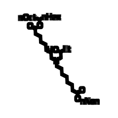 CCCCCCCCCOC(=O)CCCCCCCN(CCCCCCCC(=O)OC(CCCCCC)CCCCCCCC)CC(O)CC